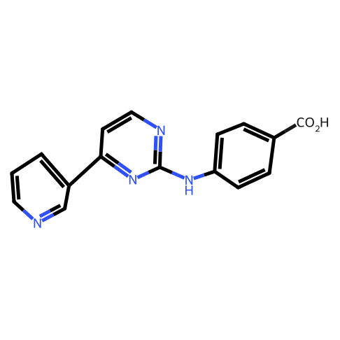 O=C(O)c1ccc(Nc2nccc(-c3cccnc3)n2)cc1